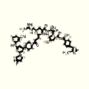 Cc1ncsc1-c1ccc([C@H](C)NC(=O)[C@@H]2C[C@@H](O)CN2C(=O)[C@@H](NC(=O)C(CCCNC(=N)N)NC(=O)CCC(=O)N2CCC(c3cc(Nc4cc(C#N)ccn4)nc(N4CCC(F)(F)C4)c3)CC2)C(C)(C)C)cc1